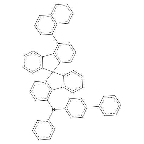 c1ccc(-c2ccc(N(c3ccccc3)c3cccc4c3-c3ccccc3C43c4ccccc4-c4c(-c5cccc6ccccc56)cccc43)cc2)cc1